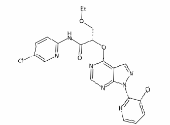 CCOC[C@H](Oc1ncnc2c1cnn2-c1ncccc1Cl)C(=O)Nc1ccc(Cl)cn1